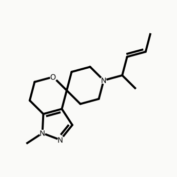 CC=CC(C)N1CCC2(CC1)OCCc1c2cnn1C